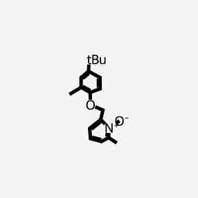 Cc1cc(C(C)(C)C)ccc1OCc1cccc(C)[n+]1[O-]